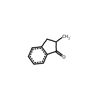 [CH2]C1Cc2ccccc2C1=O